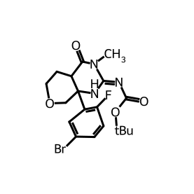 CN1C(=O)C2CCOCC2(c2cc(Br)ccc2F)NC1=NC(=O)OC(C)(C)C